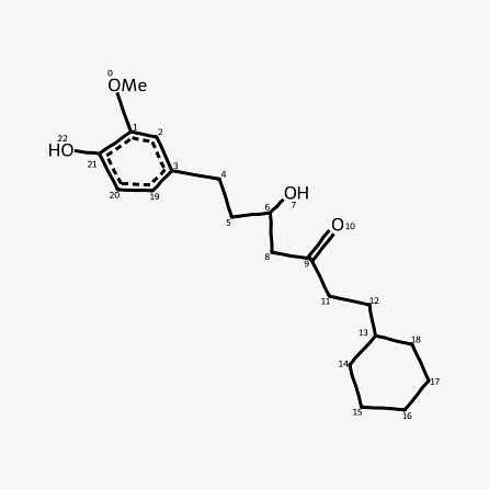 COc1cc(CCC(O)CC(=O)CCC2CCCCC2)ccc1O